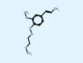 CC=Cc1ccc(OOCCOC)c(OC)c1